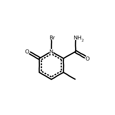 Cc1ccc(=O)n(Br)c1C(N)=O